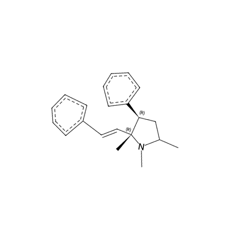 CC1C[C@H](c2ccccc2)[C@@](C)(C=Cc2ccccc2)N1C